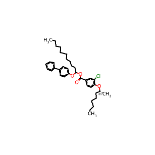 CCCCCCCCCCC(OC(=O)c1ccc(O[C@H](C)CCCCCC)c(Cl)c1)Oc1ccc(-c2ccccc2)cc1